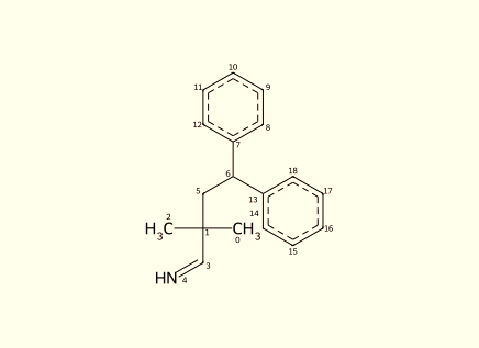 CC(C)(C=N)CC(c1ccccc1)c1ccccc1